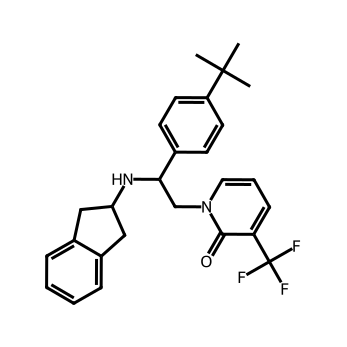 CC(C)(C)c1ccc(C(Cn2cccc(C(F)(F)F)c2=O)NC2Cc3ccccc3C2)cc1